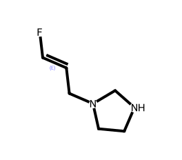 F/C=C/CN1CCNC1